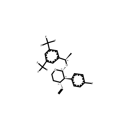 C=C[C@@H]1CCO[C@H](O[C@H](C)c2cc(C(F)(F)F)cc(C(F)(F)F)c2)[C@H]1c1ccc(F)cc1